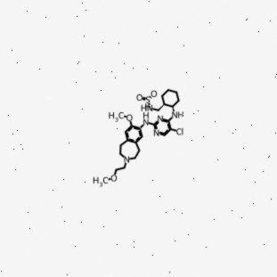 COCCN1CCc2cc(Nc3ncc(Cl)c(N[C@@H]4CCCC[C@@H]4CN[SH](=O)=O)n3)c(OC)cc2CC1